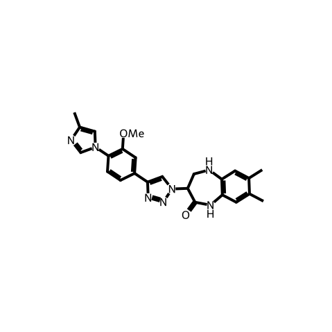 COc1cc(-c2cn(C3CNc4cc(C)c(C)cc4NC3=O)nn2)ccc1-n1cnc(C)c1